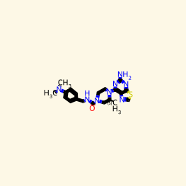 C[C@H]1CN(C(=O)NCc2ccc(N(C)C)cc2)CCN1c1nc(N)nc2scnc12